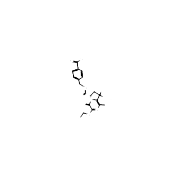 CC(C)CNc1nc(Cl)c2n(c1=O)[C@H](C(=O)NCc1ccc(C(=N)N)cc1)CC2(C)C